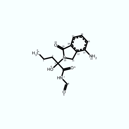 CCCC(O)(C(=O)NC=O)N1Cc2c(N)cccc2C1=O